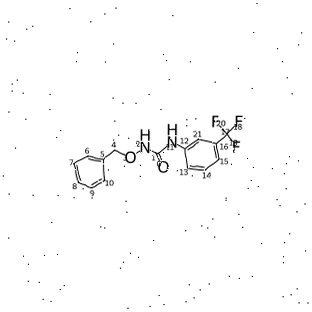 O=C(NOCc1ccccc1)Nc1cccc(C(F)(F)F)c1